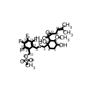 COC1C(O)CCC(O)(CSCc2c(F)c(F)c(F)c(F)c2COS(C)(=O)=O)C1C1(C)OC1CC=C(C)C